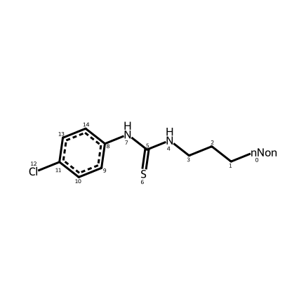 CCCCCCCCCCCCNC(=S)Nc1ccc(Cl)cc1